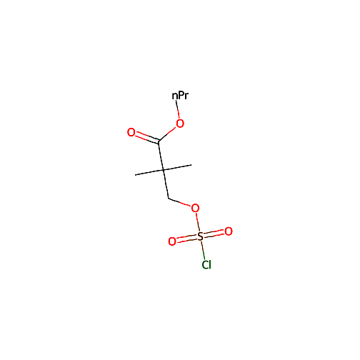 CCCOC(=O)C(C)(C)COS(=O)(=O)Cl